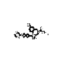 CC(=O)N1Cc2cc(Cl)ccc2-n2c(nnc2C2CC3(C2)CN(c2cnccn2)C3)C1